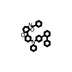 c1ccc(-c2nc3ccc4oc5ccc(N(c6ccccc6)c6ccc(-c7ccccc7-c7ccccc7)cc6)cc5c4c3o2)cc1